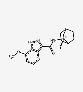 O=C(N[C@@H]1CN2CCC1CC2)c1n[nH]c2c(OC(F)(F)F)cccc12